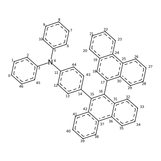 c1ccc(N(c2ccccc2)c2ccc(-c3c(-c4cc5ccccc5c5ccccc45)c4ccccc4c4ccccc34)cc2)cc1